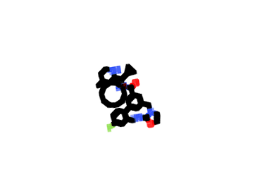 Cc1cc(F)ccc1-c1cc(Cn2ccoc2=N)cc(C(=O)N[C@@H](C2CC2)C2NCCC(C)C23CCCCCCCCC3)c1